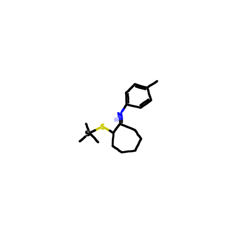 Cc1ccc(/N=C2\CCCCCC2S[Si](C)(C)C)cc1